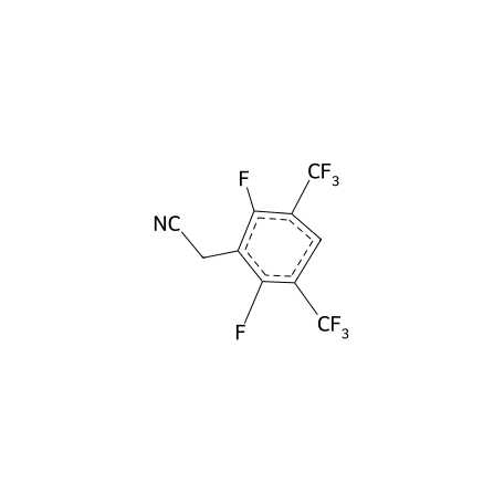 N#CCc1c(F)c(C(F)(F)F)cc(C(F)(F)F)c1F